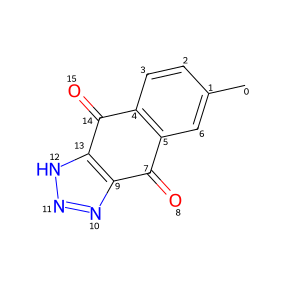 Cc1ccc2c(c1)C(=O)c1nn[nH]c1C2=O